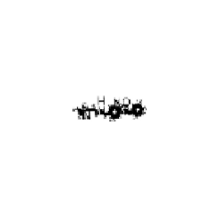 Cc1cnc(CCNCc2ccc(OCc3ccccc3)c([N+](=O)[O-])c2)s1